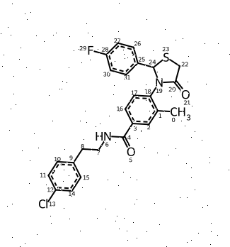 Cc1cc(C(=O)NCCc2ccc(Cl)cc2)ccc1N1C(=O)CSC1c1ccc(F)cc1